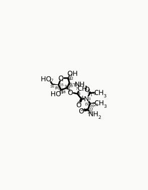 CC(=O)N(C(=O)C(C)O[C@@H]1[C@@H](N)[C@@H](O)O[C@H](CO)[C@H]1O)[C@@H](C)C(N)=O